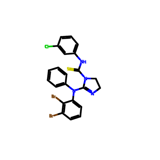 S=C(Nc1cccc(Cl)c1)N1CCN=C1N(c1ccccc1)c1cccc(Br)c1Br